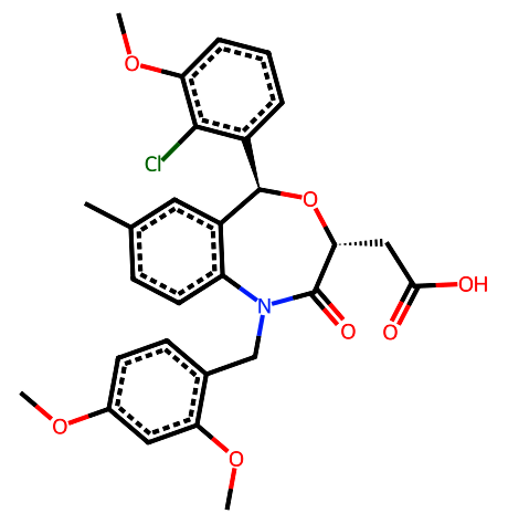 COc1ccc(CN2C(=O)[C@@H](CC(=O)O)O[C@H](c3cccc(OC)c3Cl)c3cc(C)ccc32)c(OC)c1